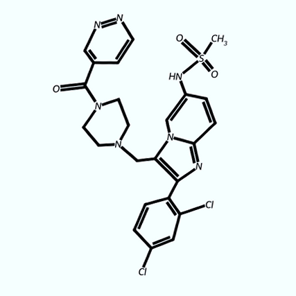 CS(=O)(=O)Nc1ccc2nc(-c3ccc(Cl)cc3Cl)c(CN3CCN(C(=O)c4ccnnc4)CC3)n2c1